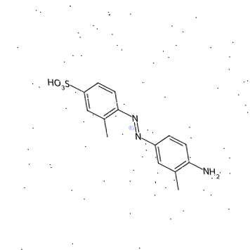 Cc1cc(/N=N/c2ccc(S(=O)(=O)O)cc2C)ccc1N